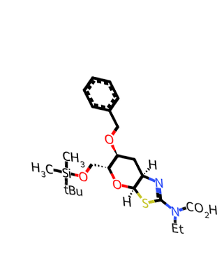 CCN(C(=O)O)C1=N[C@@H]2C[C@H](OCc3ccccc3)[C@@H](CO[Si](C)(C)C(C)(C)C)O[C@@H]2S1